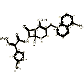 CO/N=C(\C(=O)N[C@@H]1C(=O)N2C(C(=O)O)=C(C[n+]3cccc4c(N)cccc43)CS[C@H]12)c1csc(N)n1